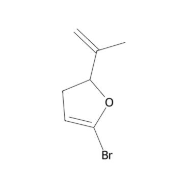 C=C(C)C1CC=C(Br)O1